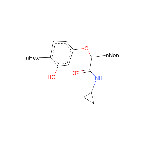 CCCCCCCCCC(Oc1ccc(CCCCCC)c(O)c1)C(=O)NC1CC1